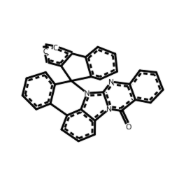 O=c1c2ccccc2nc2n3c4c(cccc4n12)-c1ccccc1C31c2ccccc2-c2ccccc21